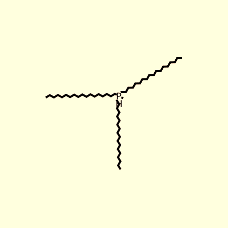 CCCCCCCCCCCCCCCCCC[PH](C)(CCCCCCCCCCCCCCCCCC)CCCCCCCCCCCCCCCCCC